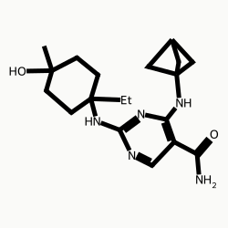 CCC1(Nc2ncc(C(N)=O)c(NC34CC(C3)C4)n2)CCC(C)(O)CC1